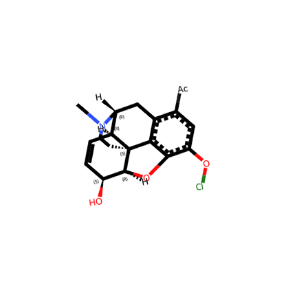 CC(=O)c1cc(OCl)c2c3c1C[C@@H]1[C@@H]4C=C[C@H](O)[C@H](O2)[C@]34CCN1C